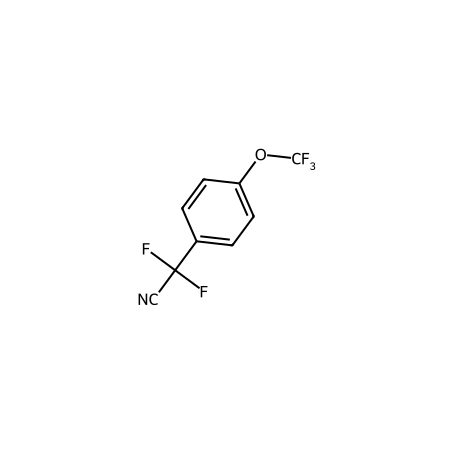 N#CC(F)(F)c1ccc(OC(F)(F)F)cc1